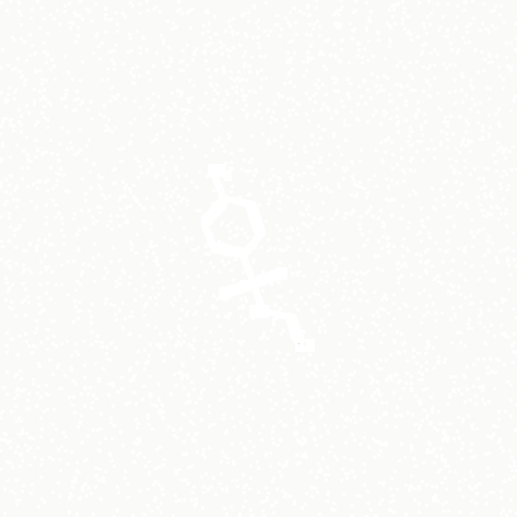 Cc1ccc(S(=O)(=O)NC=N)cc1